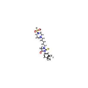 CC1(C)C(=O)N(c2ccc(C#N)c(C(F)(F)F)c2)C(=S)N1CCCCCN1CCCN(S(C)(=O)=O)CC1